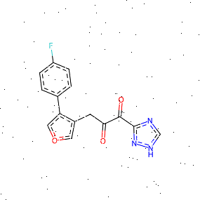 O=C(Cc1cocc1-c1ccc(F)cc1)C(=O)c1nc[nH]n1